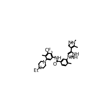 CCN1CCN(c2cc(NC(=O)c3ccc(C)c(N4C=C(c5cnn(C)c5C)NN4)c3)cc(C(F)(F)F)c2C)CC1